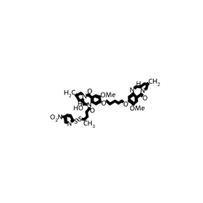 C=C1C[C@H]2C=Nc3cc(OCCCCCOc4cc5c(cc4OC)C(=O)N4CC(=C)C[C@H]4[C@H](O)N5C(=O)CC[C@@H](C)SSc4ccc([N+](=O)[O-])cn4)c(OC)cc3C(=O)N2C1